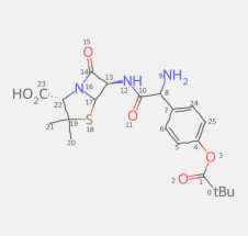 CC(C)(C)C(=O)Oc1ccc(C(N)C(=O)N[C@@H]2C(=O)N3C2SC(C)(C)[C@@H]3C(=O)O)cc1